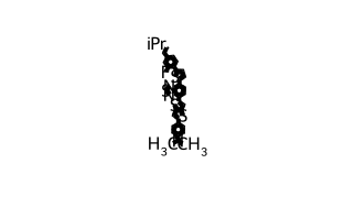 CC(C)CCc1ccc(-c2ccc(-c3ccc(-c4cc5sc(-c6ccc(N(C)C)cc6)cc5s4)c4nsnc34)s2)c(F)c1